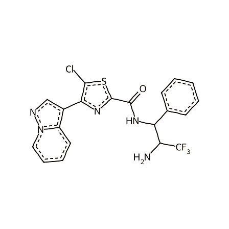 NC(C(NC(=O)c1nc(-c2cnn3ccccc23)c(Cl)s1)c1ccccc1)C(F)(F)F